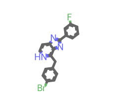 Fc1cccc(-c2nc3cc[nH]c(Cc4ccc(Br)cc4)c-3n2)c1